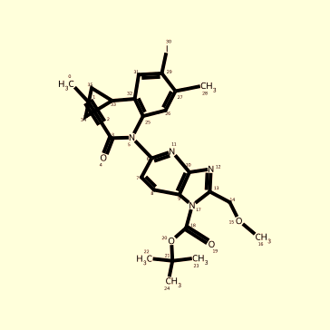 CC#CC(=O)N(c1ccc2c(n1)nc(COC)n2C(=O)OC(C)(C)C)c1cc(C)c(I)cc1C1CC1